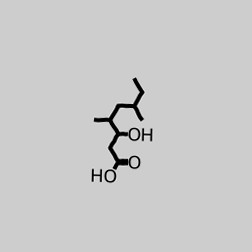 CCC(C)CC(C)C(O)CC(=O)O